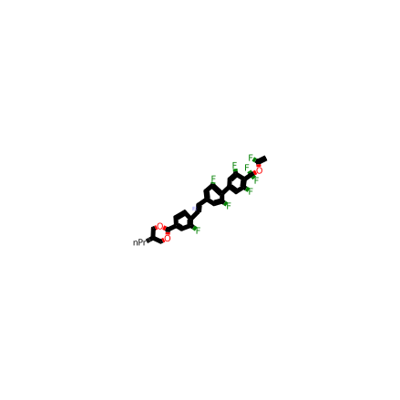 C=C(F)OC(F)(F)c1c(F)cc(-c2c(F)cc(/C=C/c3ccc(C4OCC(CCC)CO4)cc3F)cc2F)cc1F